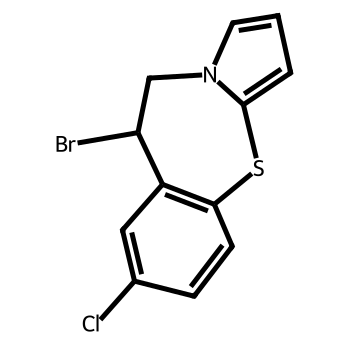 Clc1ccc2c(c1)C(Br)Cn1cccc1S2